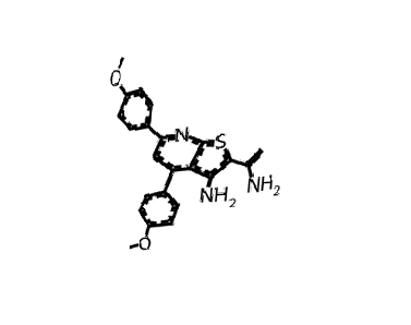 C=C(N)c1sc2nc(-c3ccc(OC)cc3)cc(-c3ccc(OC)cc3)c2c1N